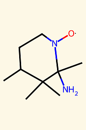 CC1CCN([O])C(C)(N)C1(C)C